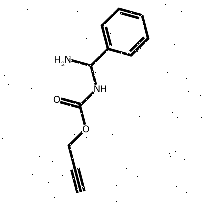 C#CCOC(=O)NC(N)c1ccccc1